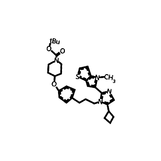 Cn1c(-c2ncc(C3CCC3)n2CCCc2ccc(OC3CCN(C(=O)OC(C)(C)C)CC3)cc2)cc2sccc21